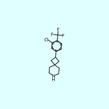 FC(F)(F)c1ccc(C2CC3(CCNCC3)C2)cc1Cl